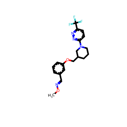 CON=Cc1cccc(OCC2CCCN(c3ccc(C(F)(F)F)nn3)C2)c1